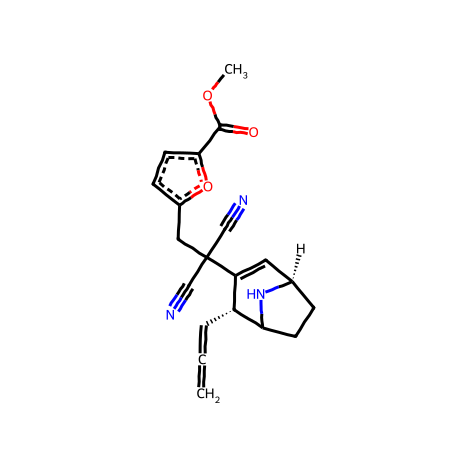 C=C=C[C@@H]1C(C(C#N)(C#N)Cc2ccc(C(=O)OC)o2)=C[C@H]2CCC1N2